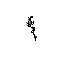 CN(CCCNC(=O)c1cccc(OC2CCN(Cc3cccc(C#Cc4ccc(F)cc4)c3)CC2)c1)Cc1ccccc1